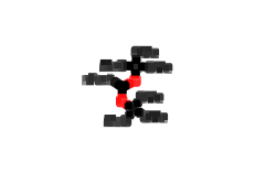 CCCCCC(O[Si](OC)(OC)OC)O[Si](OC)(OC)OC